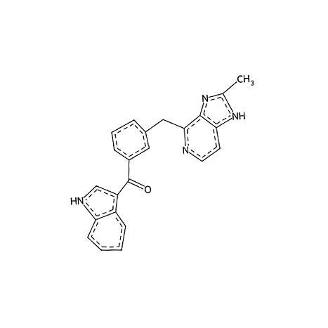 Cc1nc2c(Cc3cccc(C(=O)c4c[nH]c5ccccc45)c3)nccc2[nH]1